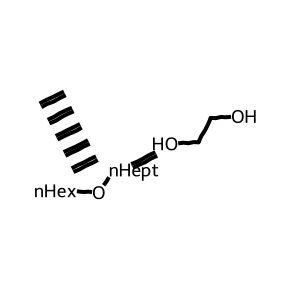 C=C.C=C.C=C.C=C.C=C.C=C.CCCCCCCOCCCCCC.OCCO